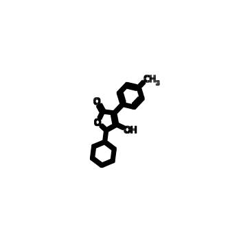 Cc1ccc(C2=C(O)C(C3CCCCC3)OC2=O)cc1